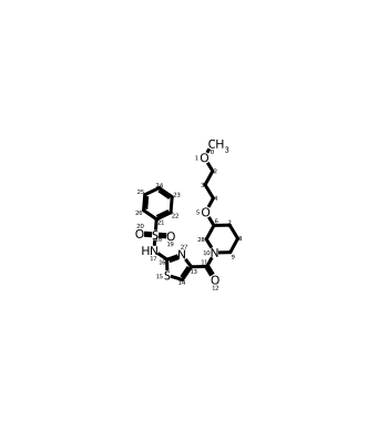 COCCCOC1CCCN(C(=O)c2csc(NS(=O)(=O)c3ccccc3)n2)C1